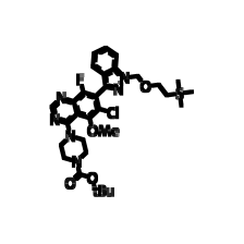 COc1c(Cl)c(-c2nn(COCCS(C)(C)C)c3ccccc23)c(F)c2ncnc(N3CCN(C(=O)OC(C)(C)C)CC3)c12